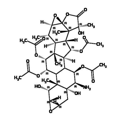 CC(=O)O[C@H]1[C@@H]2[C@H]([C@H](C)[C@H]3O[C@]34OC(=O)[C@@](C)(O)[C@]24C)[C@]2(C)[C@@H]1C1C([C@H](OC(C)=O)[C@@H]2OC(C)=O)[C@@]2(C)[C@@H](O)[C@H]3O[C@H]3C[C@]2(O)[C@H](N)[C@@H]1OC(C)=O